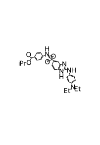 CCN(CC)c1ccc(Nc2nc3cc(S(=O)(=O)Nc4ccc(C(=O)OC(C)C)cc4)ccc3[nH]2)cc1